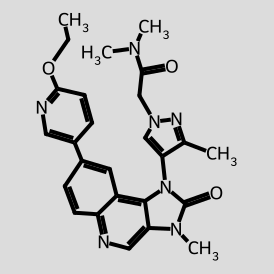 CCOc1ccc(-c2ccc3ncc4c(c3c2)n(-c2cn(CC(=O)N(C)C)nc2C)c(=O)n4C)cn1